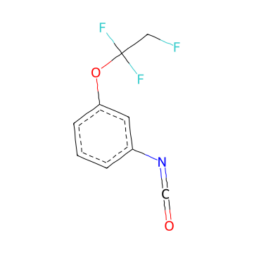 O=C=Nc1cccc(OC(F)(F)CF)c1